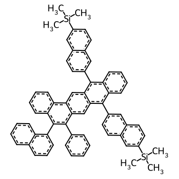 C[Si](C)(C)c1ccc2cc(-c3c4ccccc4c(-c4ccc5cc([Si](C)(C)C)ccc5c4)c4cc5c(cc34)c(-c3ccccc3)c(-c3cccc4ccccc34)c3ccccc35)ccc2c1